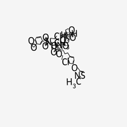 Cc1nc(COc2ccc(CCC[C@](NC(=O)O[C@H]3CO[C@H]4OCC[C@H]43)(OCCCl)C(=O)OCN(CC(C)C)S(=O)(=O)c3ccc4c(c3)OCO4)cc2)cs1